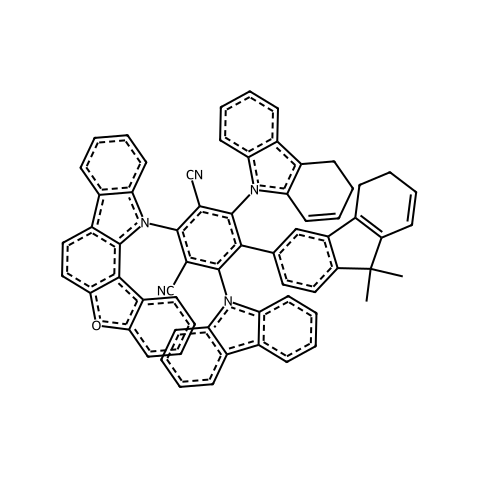 CC1(C)C2=C(CCC=C2)c2cc(-c3c(-n4c5c(c6ccccc64)CCC=C5)c(C#N)c(-n4c5ccccc5c5ccc6oc7ccccc7c6c54)c(C#N)c3-n3c4ccccc4c4ccccc43)ccc21